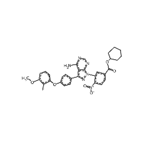 COc1cccc(Oc2ccc(-c3nn(-c4cc(C(=O)OC5CCCCC5)ccc4[N+](=O)[O-])c4ncnc(N)c34)cc2)c1F